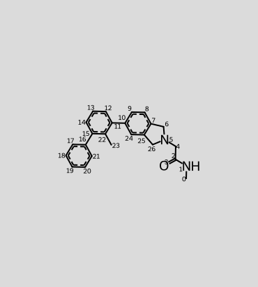 CNC(=O)CN1Cc2ccc(-c3cccc(-c4ccccc4)c3C)cc2C1